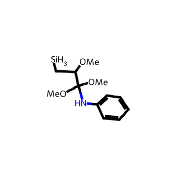 COC(C[SiH3])C(Nc1ccccc1)(OC)OC